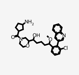 COC(CCCC(O)C1CN(C(=O)C2CCC(N)C2)CCO1)c1cccc(Cl)c1-c1cnc2ccccc2c1